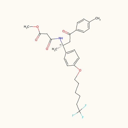 COC(=O)CC(=O)N[C@@](C)(CC(=O)c1ccc(C)cc1)c1ccc(OCCCCCC(F)(F)F)cc1